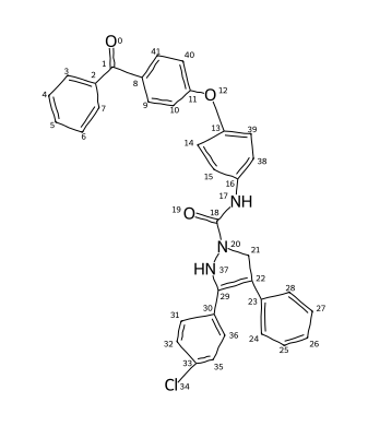 O=C(c1ccccc1)c1ccc(Oc2ccc(NC(=O)N3CC(c4ccccc4)=C(c4ccc(Cl)cc4)N3)cc2)cc1